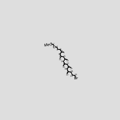 COCOCCCC(C)CC(C)CC(C)CC(C)CC(C)CC(C)CCCBr